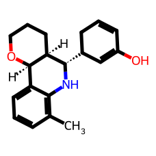 Cc1cccc2c1N[C@@H](C1C=C(O)C=CC1)[C@@H]1CCCO[C@H]21